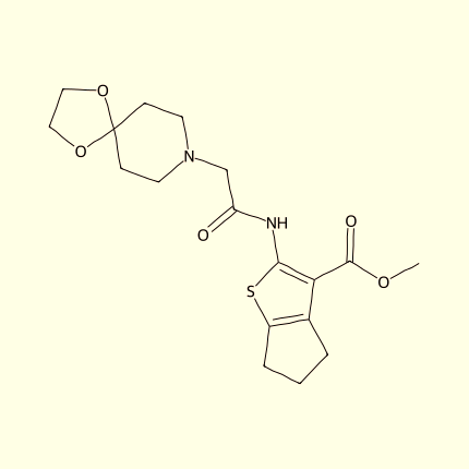 COC(=O)c1c(NC(=O)CN2CCC3(CC2)OCCO3)sc2c1CCC2